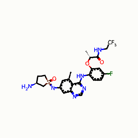 Cc1cc(N=S2(=O)CC[C@H](N)C2)cc2ncnc(Nc3ccc(F)cc3O[C@H](C)C(=O)NCC(F)(F)F)c12